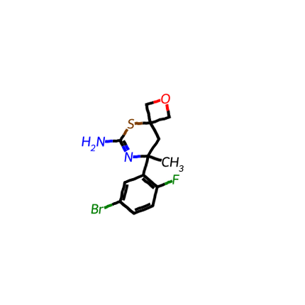 CC1(c2cc(Br)ccc2F)CC2(COC2)SC(N)=N1